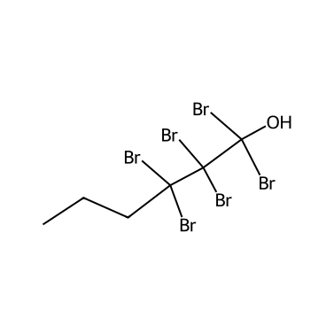 CCCC(Br)(Br)C(Br)(Br)C(O)(Br)Br